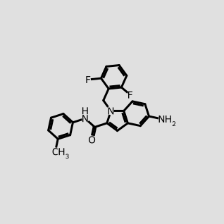 Cc1cccc(NC(=O)c2cc3cc(N)ccc3n2Cc2c(F)cccc2F)c1